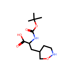 CC(C)(C)OC(=O)NC(CC1CCNOC1)C(=O)O